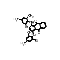 CCc1cc(C)cc(C)c1Nc1ccc(Nc2c(C)cc(C)cc2CC)c2c1C(=O)c1ccccc1C2=O